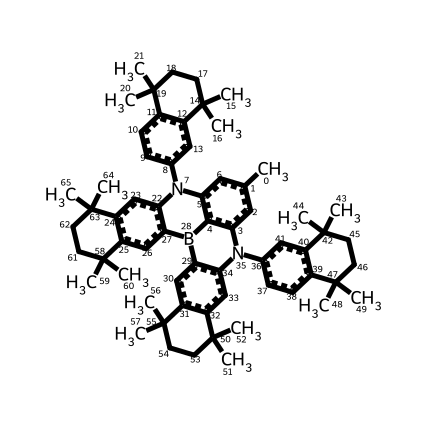 Cc1cc2c3c(c1)N(c1ccc4c(c1)C(C)(C)CCC4(C)C)c1cc4c(cc1B3c1cc3c(cc1N2c1ccc2c(c1)C(C)(C)CCC2(C)C)C(C)(C)CCC3(C)C)C(C)(C)CCC4(C)C